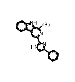 CCCCc1nc(-c2nc(-c3ccccc3)c[nH]2)cc2c1[nH]c1ccccc12